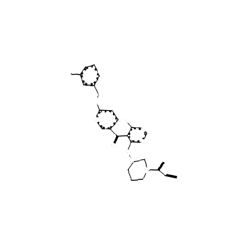 C=CC(=O)N1CCC[C@@H](Nc2ncnc(N)c2C(=N)c2ccc(OCc3cccc(F)c3)nc2)C1